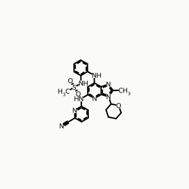 Cc1nc2c(Nc3ccccc3NS(C)(=O)=O)cc(Nc3cccc(C#N)n3)nc2n1C1CCCCO1